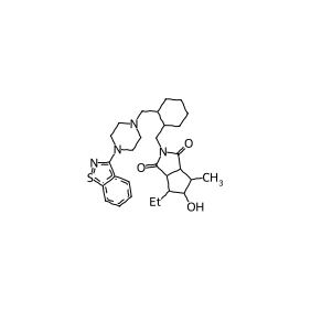 CCC1C(O)C(C)C2C(=O)N(CC3CCCCC3CN3CCN(c4nsc5ccccc45)CC3)C(=O)C12